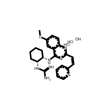 COc1ccc2nc(/C=C\c3ccccn3)nc(N[C@H]3CCCC[C@H]3NC(=N)N)c2c1.Cl.Cl.Cl